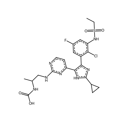 CCS(=O)(=O)Nc1cc(F)cc(-c2nc(C3CC3)[nH]c2-c2ccnc(NCC(C)NC(=O)O)n2)c1Cl